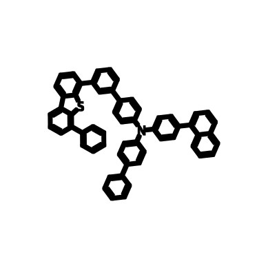 c1ccc(-c2ccc(N(c3ccc(-c4cccc(-c5cccc6c5sc5c(-c7ccccc7)cccc56)c4)cc3)c3ccc(-c4cccc5ccccc45)cc3)cc2)cc1